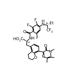 CC[C@@H](Nc1cc(F)c(C(=O)N[C@@H](Cc2ccc(-c3nc(C)c(C)n(C)c3=O)c3c2CCCO3)C(=O)O)c(F)c1F)C(F)(F)F